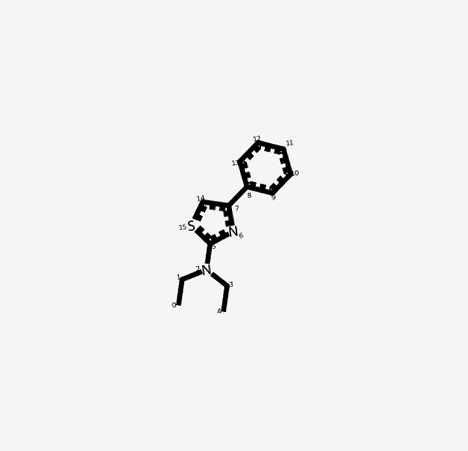 CCN(CC)c1nc(-c2ccccc2)cs1